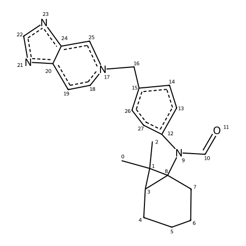 CC1(C)C2CCCCC21N(C=O)c1ccc(Cn2ccc3ncnc-3c2)cc1